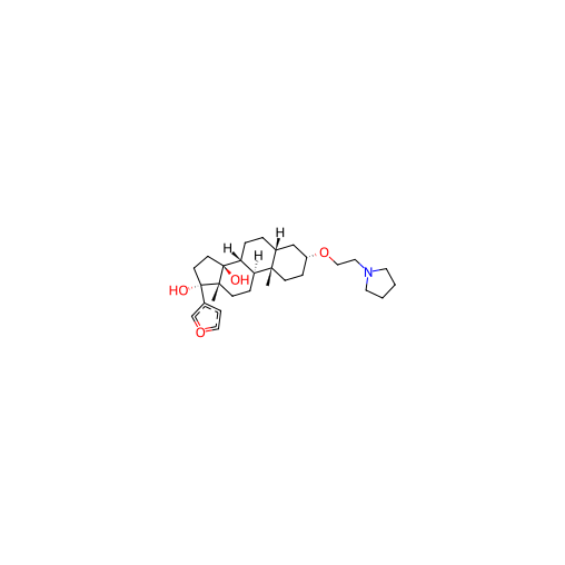 C[C@]12CC[C@@H](OCCN3CCCC3)C[C@H]1CC[C@@H]1[C@@H]2CC[C@]2(C)[C@@](O)(c3ccoc3)CC[C@]12O